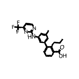 CCCc1c(C(=O)O)cccc1-c1cc(C)cc(Nc2nccc(C(F)(F)F)n2)c1